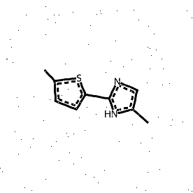 Cc1cnc(-c2ccc(C)s2)[nH]1